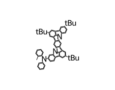 Cc1ccccc1N(c1ccccc1)c1ccc2c3cc(C(C)(C)C)cc4c5cc6c(cc5n(c2c1)c34)c1cc(C(C)(C)C)cc2c3cc(C(C)(C)C)ccc3n6c21